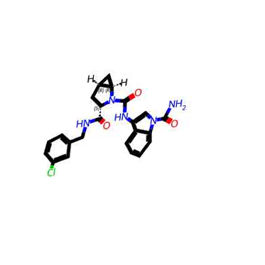 NC(=O)n1cc(NC(=O)N2[C@@H]3C[C@@H]3C[C@H]2C(=O)NCc2cccc(Cl)c2)c2ccccc21